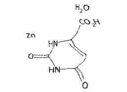 O.O=C(O)c1cc(=O)[nH]c(=O)[nH]1.[Zn]